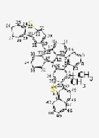 CC1(C)c2ccccc2-c2c(-c3c4ccccc4c(-c4ccc5sc6ccccc6c5c4)c4ccccc34)cc3sc4c5ccccc5ccc4c3c21